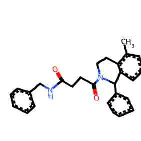 Cc1cccc2c1CCN(C(=O)CCC(=O)NCc1ccccc1)C2c1ccccc1